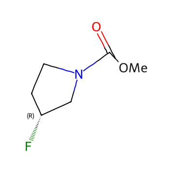 COC(=O)N1CC[C@@H](F)C1